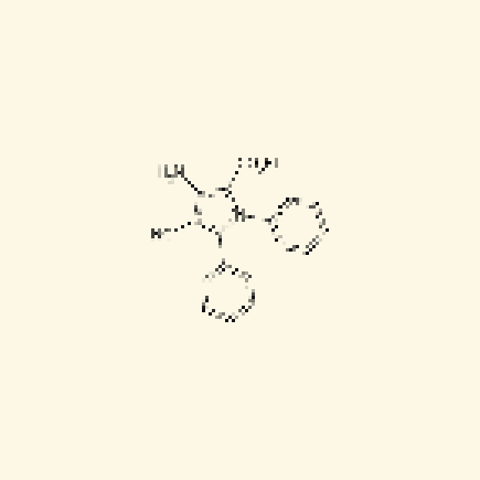 CCOC(=O)c1c(N)c(C#N)c(-c2ccccc2)n1-c1ccccc1